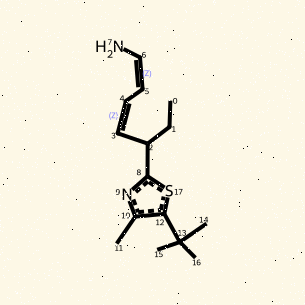 CCC(/C=C\C=C/N)c1nc(C)c(C(C)(C)C)s1